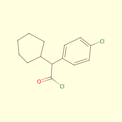 O=C(Cl)C(c1ccc(Cl)cc1)C1CCCCC1